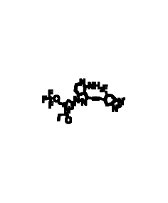 C=CC(=O)N1C[C@@H](n2nc(C#Cc3cc4ncn(C)c4cc3F)c3c(N)nccc32)C[C@@H]1COC(F)(F)F